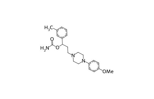 COc1ccc(N2CCN(CCC(OC(N)=O)c3cccc(C)c3)CC2)cc1